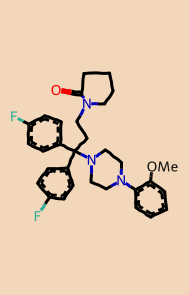 COc1ccccc1N1CCN(C(CCN2CCCCC2=O)(c2ccc(F)cc2)c2ccc(F)cc2)CC1